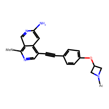 CNc1ncc(C#Cc2ccc(OC3CN(C(C)=O)C3)cc2)c2cc(N)ncc12